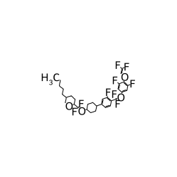 CCCCCC1CCC(C(F)(F)OC2CCC(c3ccc(C(F)(F)Oc4cc(F)c(OC=C(F)F)c(F)c4)c(F)c3)CC2)OC1